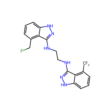 FCc1cccc2[nH]nc(NCCNc3n[nH]c4cccc(C(F)(F)F)c34)c12